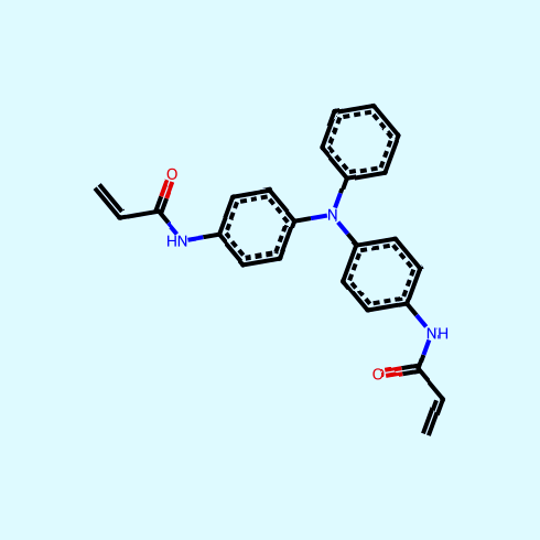 C=CC(=O)Nc1ccc(N(c2ccccc2)c2ccc(NC(=O)C=C)cc2)cc1